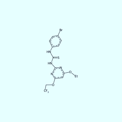 CCOc1cc(OCC(F)(F)F)nc(NC(=S)Nc2ccc(Br)cc2)n1